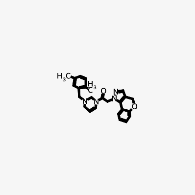 Cc1ccc(C)c(CN2CC=CN(C(=O)Cn3ncc4c3-c3ccccc3OC4)C2)c1